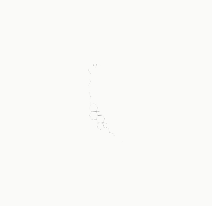 COCCOCCOCCOC1CCC2(C)C(CCC3C4CCC(CCCC(=O)O)C4(C)CCC32)C1